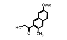 COc1ccc2cc(C)c(C(=O)CO)cc2c1